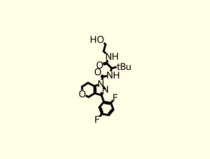 CC(C)(C)C(NC(=O)n1nc(-c2cc(F)ccc2F)c2c1CCOC2)C(=O)NCCO